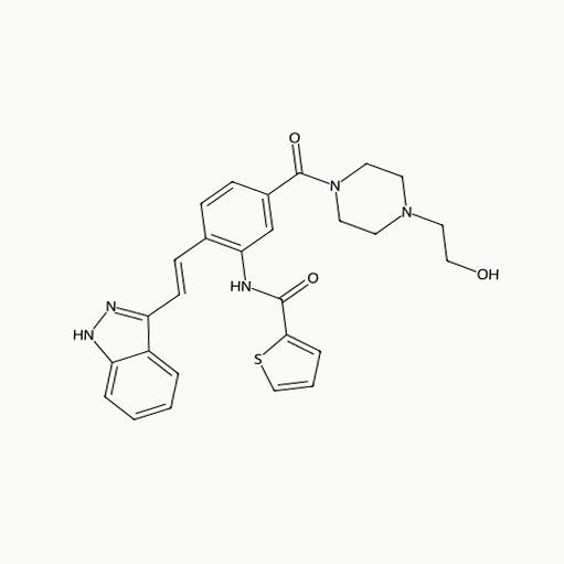 O=C(Nc1cc(C(=O)N2CCN(CCO)CC2)ccc1/C=C/c1n[nH]c2ccccc12)c1cccs1